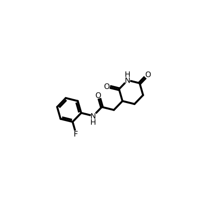 O=C1CCC(CC(=O)Nc2ccccc2F)C(=O)N1